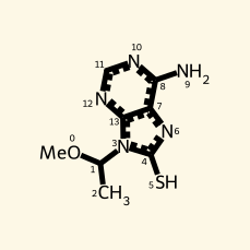 COC(C)n1c(S)nc2c(N)ncnc21